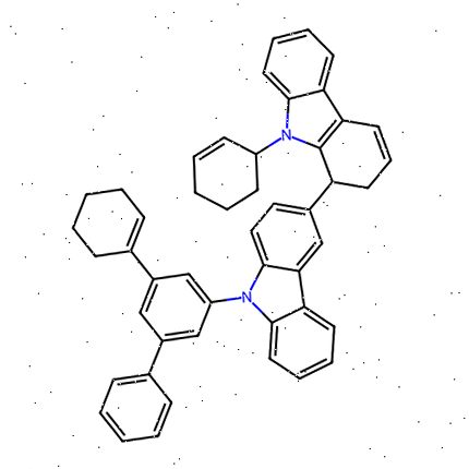 C1=CC(n2c3c(c4ccccc42)C=CCC3c2ccc3c(c2)c2ccccc2n3-c2cc(C3=CCCCC3)cc(-c3ccccc3)c2)CCC1